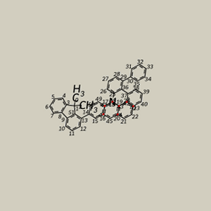 CC1(C)c2ccccc2-c2cccc(-c3ccc(N(c4ccccc4)c4cccc(-c5ccccc5)c4-c4ccccc4-c4ccccc4)cc3)c21